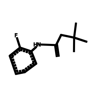 C=C(CC(C)(C)C)Nc1ccccc1F